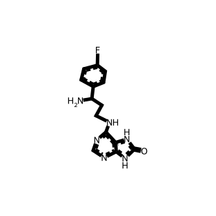 NC(CCNc1ncnc2[nH]c(=O)[nH]c12)c1ccc(F)cc1